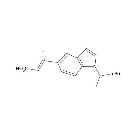 CCCCC(C)n1ccc2cc(C(C)=CC(=O)O)ccc21